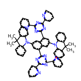 CC1(C)c2ccccc2N(c2cc(-c3nc(-c4ccccn4)nc(-c4ccccn4)n3)c3cc(N4c5ccccc5C(C)(C)c5ccccc54)cc(-c4nc(-c5ccccn5)nc(-c5ccccn5)n4)c3c2)c2ccccc21